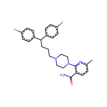 Cc1ccc(C(N)=O)c(N2CCN(CCCC(c3ccc(F)cc3)c3ccc(F)cc3)CC2)n1